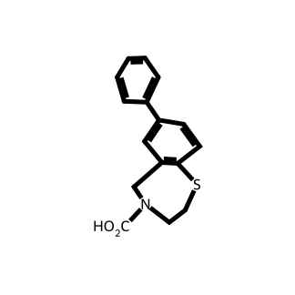 O=C(O)N1CCSc2ccc(-c3ccccc3)cc2C1